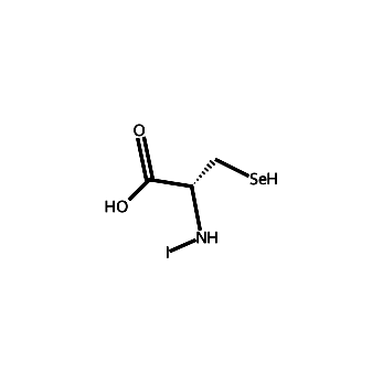 O=C(O)[C@H](C[SeH])NI